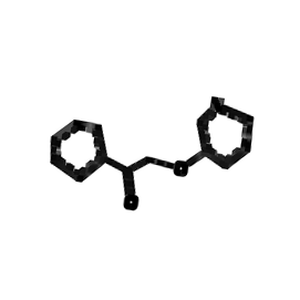 O=C(COc1cccnc1)c1ccccc1